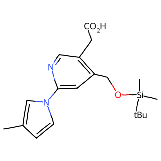 Cc1ccn(-c2cc(CO[Si](C)(C)C(C)(C)C)c(CC(=O)O)cn2)c1